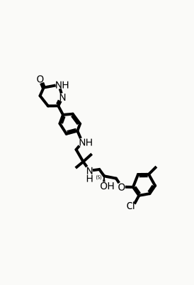 Cc1ccc(Cl)c(OC[C@@H](O)CNC(C)(C)CNc2ccc(C3=NNC(=O)CC3)cc2)c1